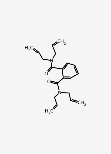 C=CCN(CC=C)C(=O)c1ccccc1C(=O)N(CC=C)CC=C